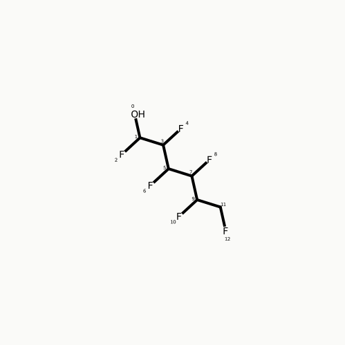 OC(F)C(F)C(F)C(F)C(F)CF